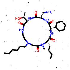 CCCCCCN1CCNC(=O)[C@H]([C@H](C)O)NC(=O)[C@H](CN)NC(=O)[C@H](C2CCCCC2)NC(=O)[C@H](CCCC)N(C)C(=O)C1